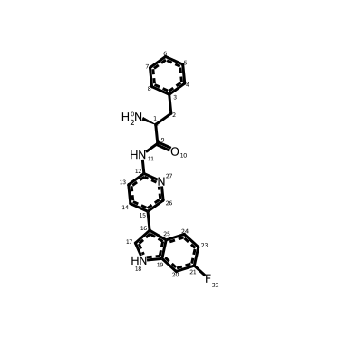 N[C@@H](Cc1ccccc1)C(=O)Nc1ccc(-c2c[nH]c3cc(F)ccc23)cn1